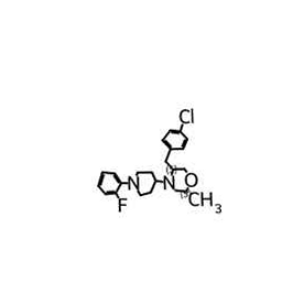 C[C@H]1CN(C2CCN(c3ccccc3F)CC2)[C@@H](Cc2ccc(Cl)cc2)CO1